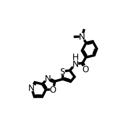 CN(C)c1cccc(C(=O)NC2CC=C(c3nc4cnccc4o3)S2)c1